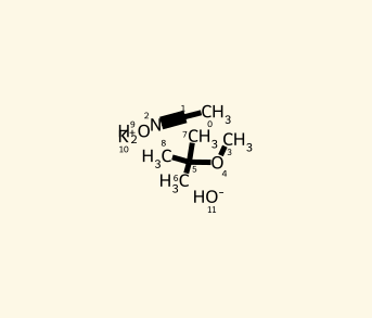 CC#N.COC(C)(C)C.O.[K+].[OH-]